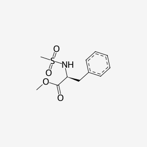 COC(=O)[C@H](Cc1ccccc1)NS(C)(=O)=O